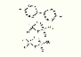 C[n+]1ccc(-c2cc[n+](C)cc2)cc1.O=S(=O)([N-]S(=O)(=O)C(F)(F)F)C(F)(F)F.O=S(=O)([N-]S(=O)(=O)C(F)(F)F)C(F)(F)F